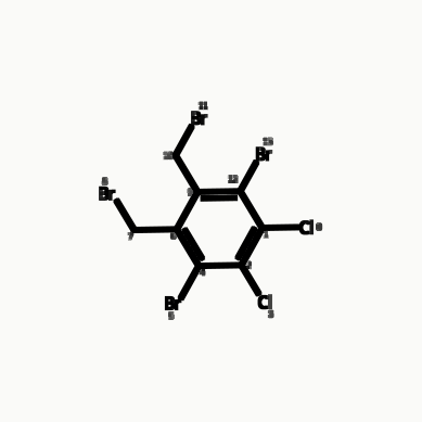 Clc1c(Cl)c(Br)c(CBr)c(CBr)c1Br